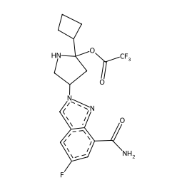 NC(=O)c1cc(F)cc2cn(C3CNC(OC(=O)C(F)(F)F)(C4CCC4)C3)nc12